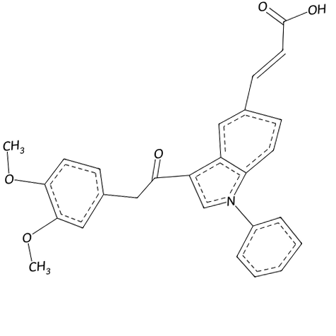 COc1ccc(CC(=O)c2cn(-c3ccccc3)c3ccc(/C=C/C(=O)O)cc23)cc1OC